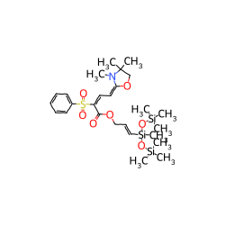 CN1/C(=C\C=C(/C(=O)OC/C=C/[Si](C)(O[Si](C)(C)C)O[Si](C)(C)C)S(=O)(=O)c2ccccc2)OCC1(C)C